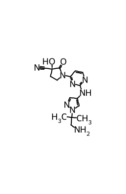 CC(C)(CN)n1cc(Nc2nccc(N3CC[C@](O)(C#N)C3=O)n2)cn1